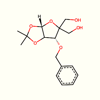 CC1(C)OC2[C@H](O1)OC(CO)(CO)[C@@H]2OCc1ccccc1